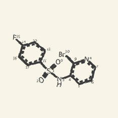 O=S(=O)(Nc1cccnc1Br)c1ccc(F)cc1